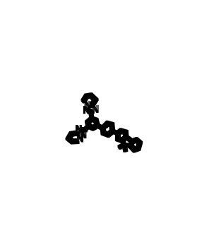 CC1(C)c2ccccc2-c2ccc(-c3ccc(-c4cc(-c5nc6ccccn6n5)cc(-c5nc6ccccn6n5)c4)cc3)cc21